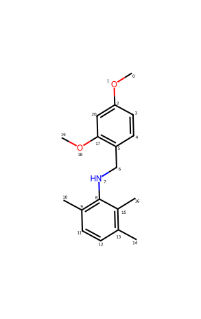 COc1ccc(CNc2c(C)ccc(C)c2C)c(OC)c1